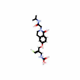 CC(C)NC(=O)CN1CCc2cc(OC/C(=C\F)CNC(=O)O)ccc2C1=O